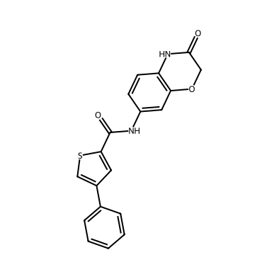 O=C1COc2cc(NC(=O)c3cc(-c4ccccc4)cs3)ccc2N1